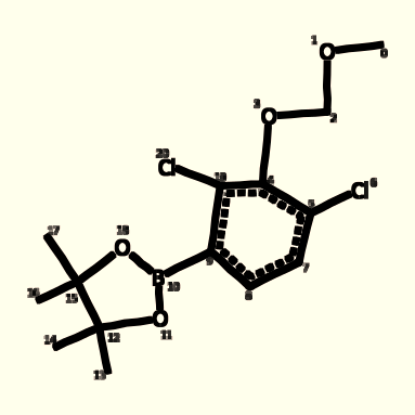 COCOc1c(Cl)ccc(B2OC(C)(C)C(C)(C)O2)c1Cl